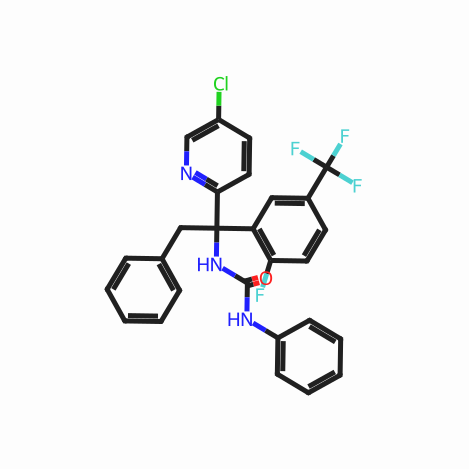 O=C(Nc1ccccc1)NC(Cc1ccccc1)(c1ccc(Cl)cn1)c1cc(C(F)(F)F)ccc1F